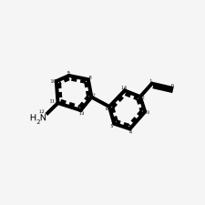 C=Cc1cccc(-c2cccc(N)c2)c1